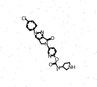 CN(C(=O)Oc1ccc(N2Cc3cn(-c4ccc(Cl)cc4)nc3C2=O)cn1)C1CCNC1